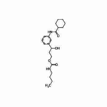 CCCCNC(=O)OCCC(O)c1cccc(NC(=O)C2CCCCC2)c1